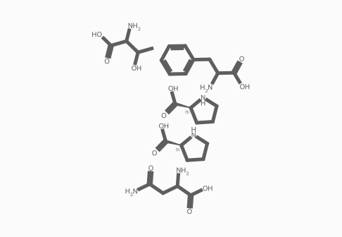 CC(O)C(N)C(=O)O.NC(=O)CC(N)C(=O)O.NC(Cc1ccccc1)C(=O)O.O=C(O)[C@@H]1CCCN1.O=C(O)[C@@H]1CCCN1